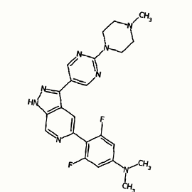 CN1CCN(c2ncc(-c3n[nH]c4cnc(-c5c(F)cc(N(C)C)cc5F)cc34)cn2)CC1